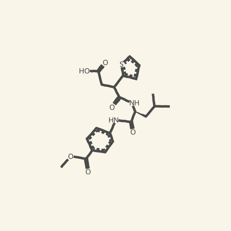 COC(=O)c1ccc(NC(=O)[C@H](CC(C)C)NC(=O)C(CC(=O)O)c2cccs2)cc1